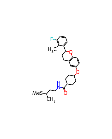 CSC(C)CCNC(=O)C1CCC(Oc2ccc3c(c2)CCC(c2cccc(F)c2C)O3)CC1